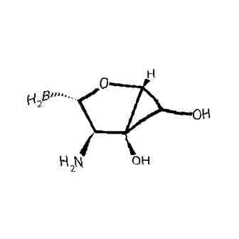 B[C@@H]1O[C@@H]2C(O)[C@]2(O)[C@H]1N